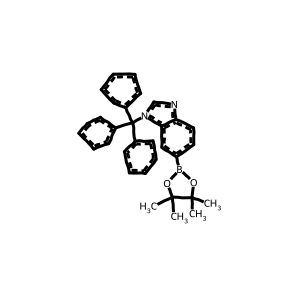 CC1(C)OB(c2ccc3ncn(C(c4ccccc4)(c4ccccc4)c4ccccc4)c3c2)OC1(C)C